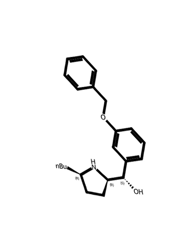 CCCC[C@@H]1CC[C@H]([C@@H](O)c2cccc(OCc3ccccc3)c2)N1